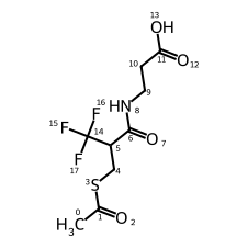 CC(=O)SCC(C(=O)NCCC(=O)O)C(F)(F)F